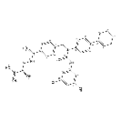 C=C(NC[C@@H](O)C(=C)O)c1ccc(CN(C(=O)Nc2cc(Cl)cc(Cl)c2)c2ccc(C3=CCCCC3)cc2)cc1